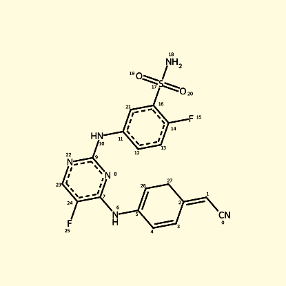 N#CC=C1C=CC(Nc2nc(Nc3ccc(F)c(S(N)(=O)=O)c3)ncc2F)=CC1